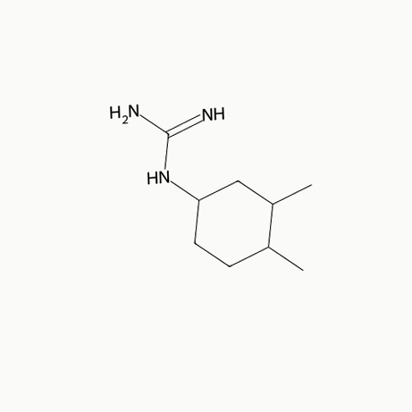 CC1CCC(NC(=N)N)CC1C